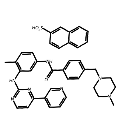 Cc1ccc(NC(=O)c2ccc(CN3CCN(C)CC3)cc2)cc1Nc1nccc(-c2cccnc2)n1.O=S(=O)(O)c1ccc2ccccc2c1